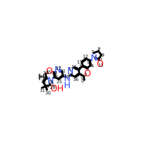 CC1Oc2cc(N3CCCC3=O)ccc2-c2cnc(Nc3cnc4c(c3)N3C(O)C(C)(C)C[C@H]3CO4)cc21